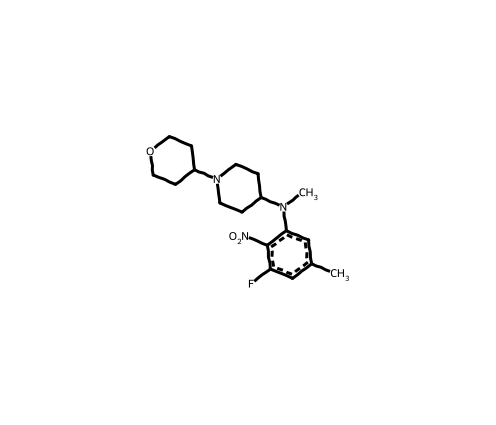 Cc1cc(F)c([N+](=O)[O-])c(N(C)C2CCN(C3CCOCC3)CC2)c1